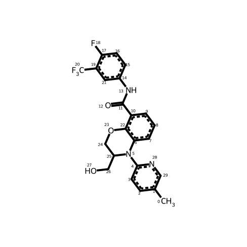 Cc1ccc(N2c3cccc(C(=O)Nc4ccc(F)c(C(F)(F)F)c4)c3OCC2CO)nc1